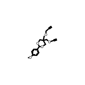 C#CCOCC1(COC#C)COC(c2ccc(OC)cc2)OC1